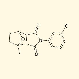 CC12CCC(O1)C1C(=O)N(c3cccc(Cl)c3)C(=O)C12